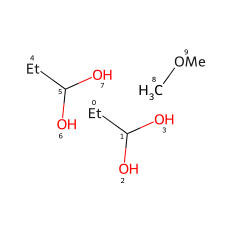 CCC(O)O.CCC(O)O.COC